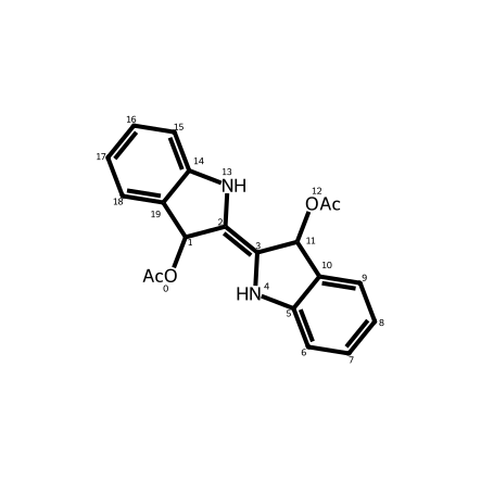 CC(=O)OC1/C(=C2\Nc3ccccc3C2OC(C)=O)Nc2ccccc21